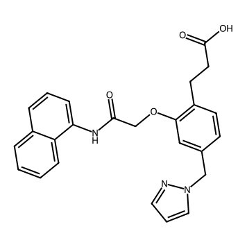 O=C(O)CCc1ccc(Cn2cccn2)cc1OCC(=O)Nc1cccc2ccccc12